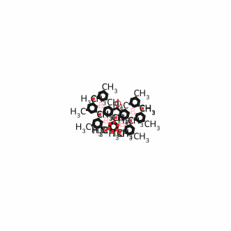 Cc1cc(C)c(B(c2cc(B(c3c(C)cc(C)cc3C)c3c(C)cc(C)cc3C)cc(C(=O)c3cc(B(c4c(C)cc(C)cc4C)c4c(C)cc(C)cc4C)cc(B(c4c(C)cc(C)cc4C)c4c(C)cc(C)cc4C)c3)c2)c2c(C)cc(C)cc2C)c(C)c1